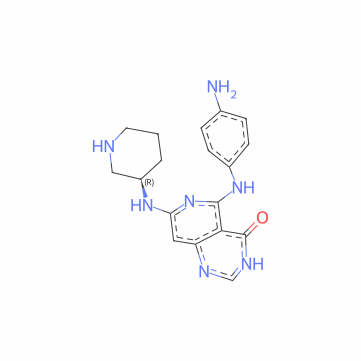 Nc1ccc(Nc2nc(N[C@@H]3CCCNC3)cc3nc[nH]c(=O)c23)cc1